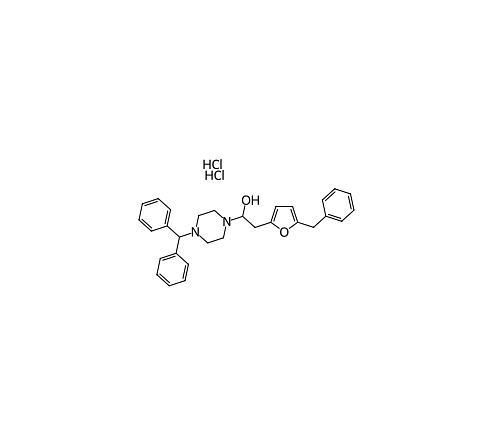 Cl.Cl.OC(Cc1ccc(Cc2ccccc2)o1)N1CCN(C(c2ccccc2)c2ccccc2)CC1